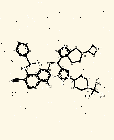 C[C@@H](Nc1c(C#N)cnc2c(Cl)cc(N[C@H](c3cn(C4CCN(C(C)(C)C)CC4)nn3)c3csc4c3CCN(C3COC3)C4)cc12)c1ccccc1